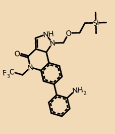 C[Si](C)(C)CCOCN1NC=C2C(=O)N(CC(F)(F)F)c3cc(-c4ccccc4N)ccc3C21